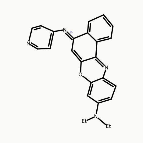 CCN(CC)c1ccc2nc3c4ccccc4/c(=N/c4ccncc4)cc-3oc2c1